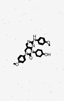 COc1ccc(Nc2ncc3c(n2)N(C2CCC(O)CC2)C(=O)N(c2ccc(OC)cc2)C3)cc1